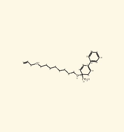 C=CCOCCCCCCCCOC1(C(=O)O)C=CC(c2ccccc2)=CC1